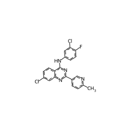 Cc1ccc(-c2nc(Nc3ccc(F)c(Cl)c3)c3ccc(Cl)cc3n2)cn1